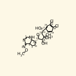 CO/N=C1/N=CNC2C1CCN2[C@@H]1O[C@H]([C@H](O)c2ccc(Cl)c(Cl)c2)[C@@](C)(O)[C@H]1O